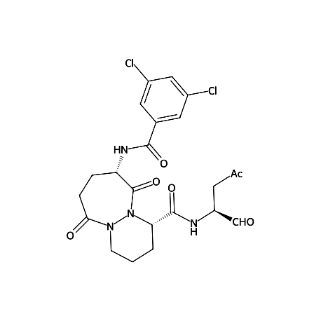 CC(=O)C[C@@H](C=O)NC(=O)[C@@H]1CCCN2C(=O)CC[C@H](NC(=O)c3cc(Cl)cc(Cl)c3)C(=O)N12